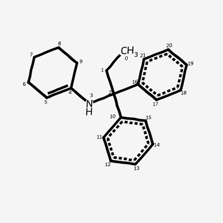 CCC(NC1=[C]CCCC1)(c1ccccc1)c1ccccc1